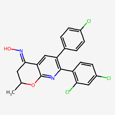 CC1C/C(=N\O)c2cc(-c3ccc(Cl)cc3)c(-c3ccc(Cl)cc3Cl)nc2O1